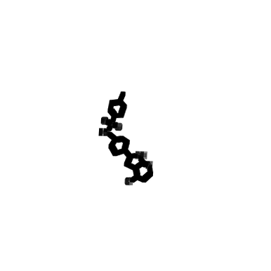 Cc1ccc(S(=O)(=O)Nc2ccc(-c3cc4c(Cl)ccnc4[nH]3)cc2)cc1